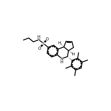 CCCNS(=O)(=O)c1ccc2c(c1)[C@H]1C=CC[C@H]1[C@H](c1c(C)c(C)cc(C)c1C)N2